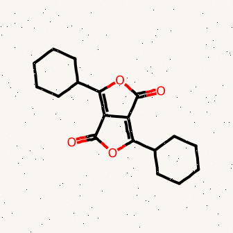 O=C1OC(C2CCCCC2)=C2C(=O)OC(C3CCCCC3)=C12